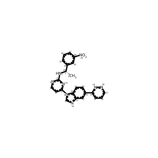 C[C@H](Nc1nccc(-n2cnc3cc(-c4cccnn4)ccc32)n1)c1cccc([N+](=O)[O-])c1